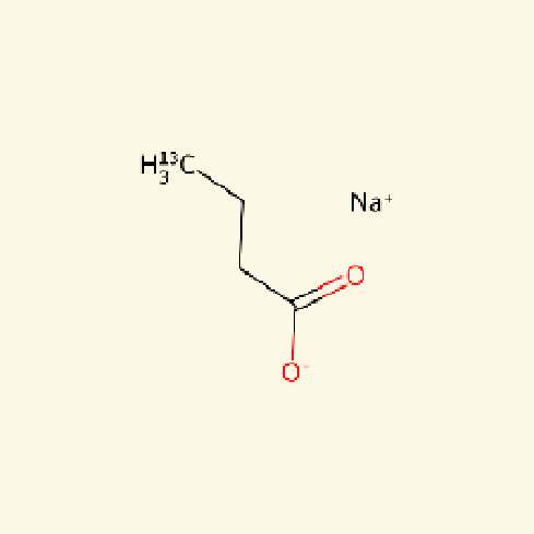 [13CH3]CCC(=O)[O-].[Na+]